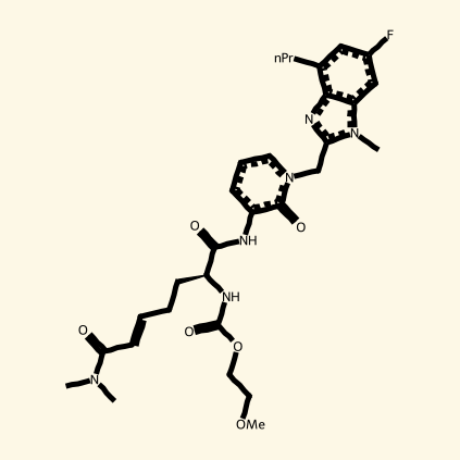 CCCc1cc(F)cc2c1nc(Cn1cccc(NC(=O)[C@H](CC/C=C/C(=O)N(C)C)NC(=O)OCCOC)c1=O)n2C